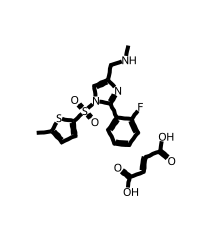 CNCc1cn(S(=O)(=O)c2ccc(C)s2)c(-c2ccccc2F)n1.O=C(O)C=CC(=O)O